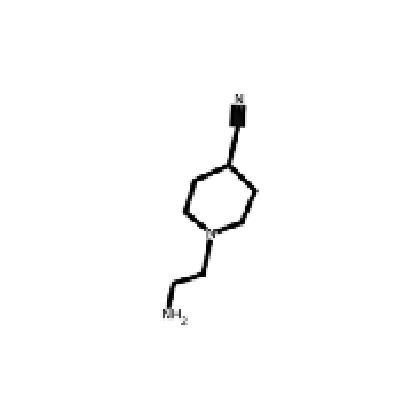 N#CC1CCN(CCN)CC1